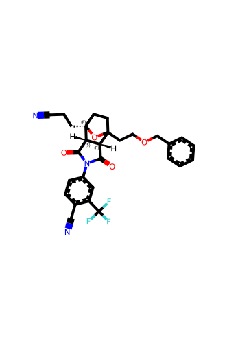 N#CCC[C@]12CCC(CCOCc3ccccc3)(O1)[C@@H]1C(=O)N(c3ccc(C#N)c(C(F)(F)F)c3)C(=O)[C@@H]12